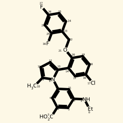 CCNc1cc(C(=O)O)cc(-n2c(C)ccc2-c2cc(Cl)ccc2OCc2ccc(F)cc2F)c1